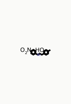 Cc1ccc(C/C=C/c2ccc([N+](=O)[O-])cc2)c(O)c1